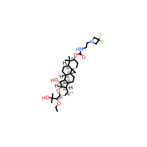 CCO[C@@H]([C@H]1C[C@@H](C)[C@H]2[C@H](O1)[C@H](O)[C@@]1(C)[C@@H]3CC[C@H]4C(C)(C)[C@@H](OC(=O)NCCN5CC(F)(F)C5)CC[C@@]45C[C@@]35CC[C@]21C)C(C)(C)O